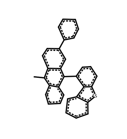 Cc1c2ccccc2c(-c2cccc3sc4ccccc4c23)c2cc(-c3ccccc3)ccc12